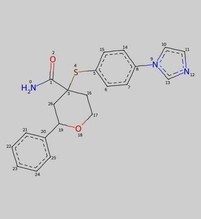 NC(=O)C1(Sc2ccc(-n3ccnc3)cc2)CCOC(c2ccccc2)C1